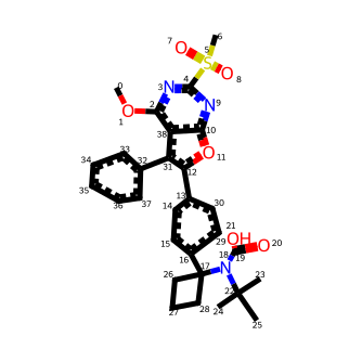 COc1nc(S(C)(=O)=O)nc2oc(-c3ccc(C4(N(C(=O)O)C(C)(C)C)CCC4)cc3)c(-c3ccccc3)c12